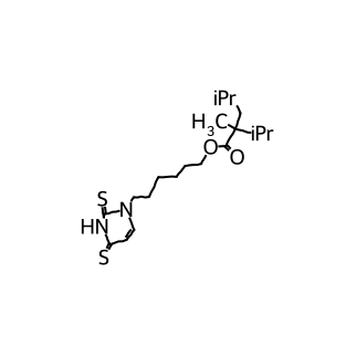 CC(C)CC(C)(C(=O)OCCCCCCn1ccc(=S)[nH]c1=S)C(C)C